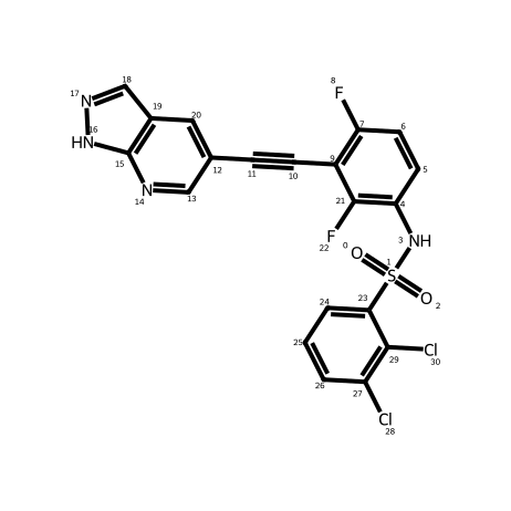 O=S(=O)(Nc1ccc(F)c(C#Cc2cnc3[nH]ncc3c2)c1F)c1cccc(Cl)c1Cl